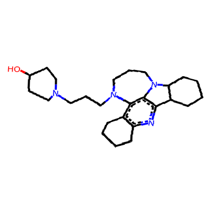 OC1CCN(CCCN2CCCN3c4c(nc5c(c42)CCCC5)C2CCCCC23)CC1